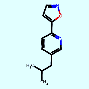 CC(C)Cc1ccc(-c2ccno2)nc1